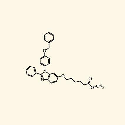 COC(=O)CCCCCOc1ccc2nc(-c3ccccc3)n(-c3ccc(OCc4ccccc4)cc3)c2c1